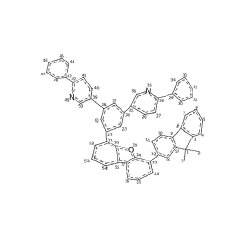 CC1(C)c2ccccc2-c2ccc(-c3cccc4c3oc3c(-c5cc(-c6ccc(-c7ccccc7)nc6)cc(-c6ccc(-c7ccccc7)nc6)c5)cccc34)cc21